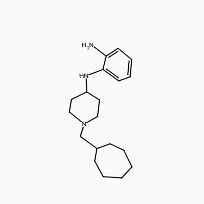 Nc1ccccc1NC1CCN(CC2CCCCCC2)CC1